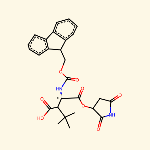 CC(C)(C)C(C(=O)O)[C@H](NC(=O)OCC1c2ccccc2-c2ccccc21)C(=O)OC1CC(=O)NC1=O